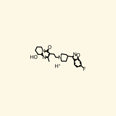 Cc1nc2n(c(=O)c1CCN1CCC(c3noc4cc(F)ccc34)CC1)CCC[C@H]2O.[H+]